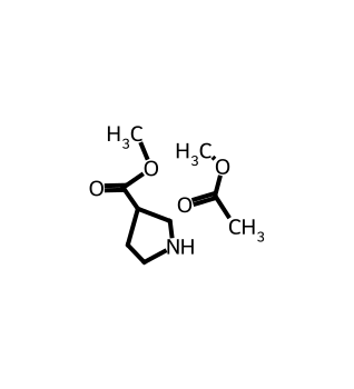 COC(=O)C1CCNC1.COC(C)=O